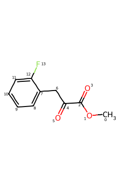 COC(=O)C(=O)Cc1ccccc1F